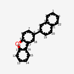 c1ccc2cc(-c3ccc4oc5ccccc5c4c3)ccc2c1